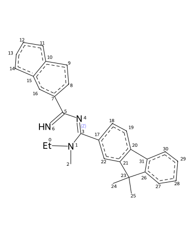 CCN(C)/C(=N\C(=N)c1ccc2ccccc2c1)c1ccc2c(c1)C(C)(C)c1ccccc1-2